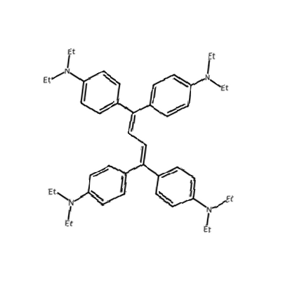 CCN(CC)c1ccc(C(=CC=C(c2ccc(N(CC)CC)cc2)c2ccc(N(CC)CC)cc2)c2ccc(N(CC)CC)cc2)cc1